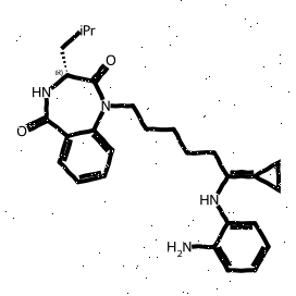 CC(C)C[C@H]1NC(=O)c2ccccc2N(CCCCCC(Nc2ccccc2N)=C2CC2)C1=O